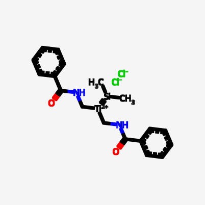 C[Si](C)=[Ti+2]([CH2]NC(=O)c1ccccc1)[CH2]NC(=O)c1ccccc1.[Cl-].[Cl-]